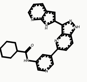 O=C(Nc1cncc(-c2ccc3[nH]nc(-c4cc5cccnc5[nH]4)c3n2)c1)C1CCCCC1